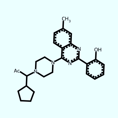 CC(=O)C(C1CCCC1)N1CCN(c2nc(-c3ccccc3O)nc3cc(C)ccc23)CC1